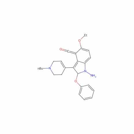 CCCCN1CC=C(C2=c3c(ccc(OCC)c3=C=O)N(N)C2Oc2ccccc2)CC1